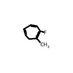 CC1=C(F)C=CC=CC1